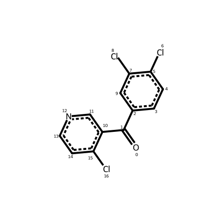 O=C(c1ccc(Cl)c(Cl)c1)c1cnccc1Cl